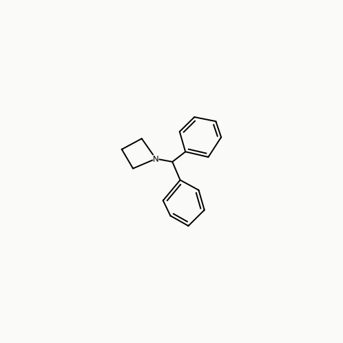 c1ccc(C(c2ccccc2)N2CCC2)cc1